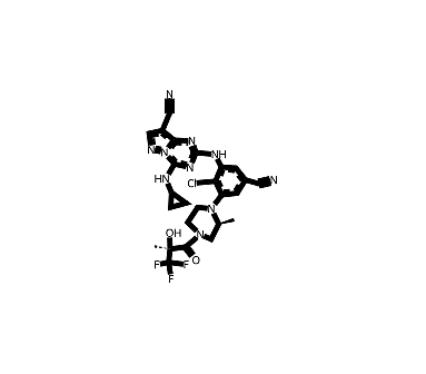 C[C@H]1CN(C(=O)[C@](C)(O)C(F)(F)F)CCN1c1cc(C#N)cc(Nc2nc(NC3CC3)n3ncc(C#N)c3n2)c1Cl